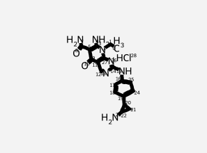 CCn1c(N)c(C(N)=O)c(=O)c2cnc(Nc3ccc(C4CC4N)cc3)nc21.Cl